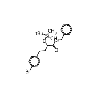 CC(C)(C)[Si](C)(C)O[C@H](CCc1ccc(Br)cc1)C(=O)OCc1ccccc1